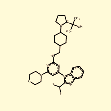 CC(C)(O)[C@@H]1CCCN1C1CCC(CNc2nc(N3CCOCC3)cc(-n3c(C(F)F)nc4ccccc43)n2)CC1